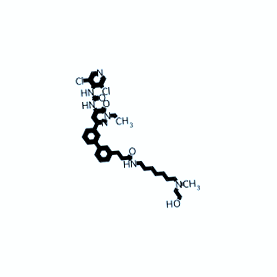 CCn1nc(-c2cccc(-c3cccc(CCC(=O)NCCCCCCCN(C)CCO)c3)c2)cc(NC(=O)Nc2c(Cl)cncc2Cl)c1=O